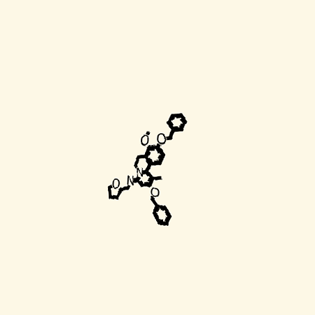 COc1c(OCc2ccccc2)ccc2c1CCn1c-2c(C)c(OCc2ccccc2)c/c1=N\CC1CCCO1